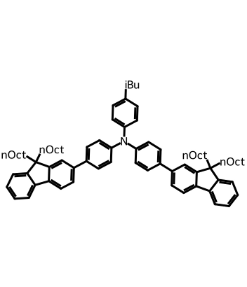 CCCCCCCCC1(CCCCCCCC)c2ccccc2-c2ccc(-c3ccc(N(c4ccc(-c5ccc6c(c5)C(CCCCCCCC)(CCCCCCCC)c5ccccc5-6)cc4)c4ccc(C(C)CC)cc4)cc3)cc21